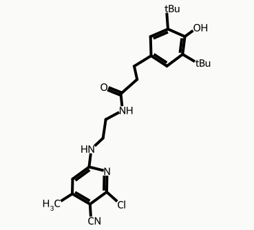 Cc1cc(NCCNC(=O)CCc2cc(C(C)(C)C)c(O)c(C(C)(C)C)c2)nc(Cl)c1C#N